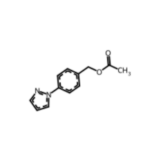 CC(=O)OCc1ccc(-n2cccn2)cc1